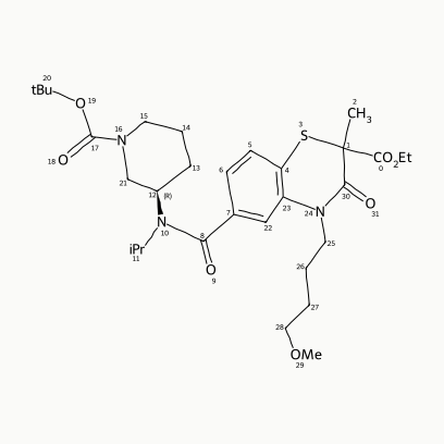 CCOC(=O)C1(C)Sc2ccc(C(=O)N(C(C)C)[C@@H]3CCCN(C(=O)OC(C)(C)C)C3)cc2N(CCCCOC)C1=O